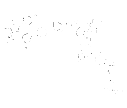 Cc1c(S(C)(=O)=O)c(-c2cc(F)cc(N3CCN(c4ccc(NS(=O)(=O)c5ccc(NC(CCN6CCC(C(=O)OCCCP(=O)(O)O)CC6)C[SH]6C=CC=C6)c(S(=O)(=O)C(F)(F)F)c5)cc4)CC3)c2)c(-c2ccc(Cl)cc2)n1C(C)C